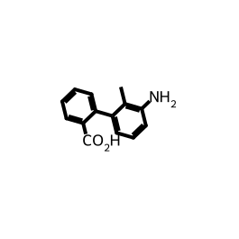 Cc1c(N)cccc1-c1ccccc1C(=O)O